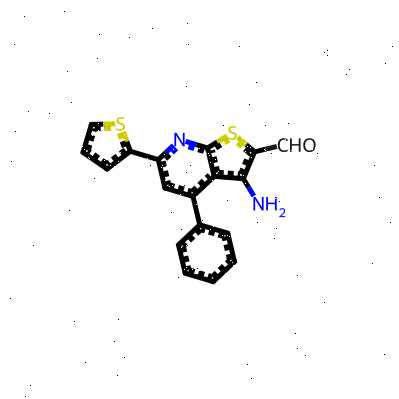 Nc1c(C=O)sc2nc(-c3cccs3)cc(-c3ccccc3)c12